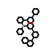 c1ccc(-c2cccc(-c3ccccc3N(c3ccccc3)c3cccc(-c4cccc(-c5cccc6ccccc56)c4)c3)c2)cc1